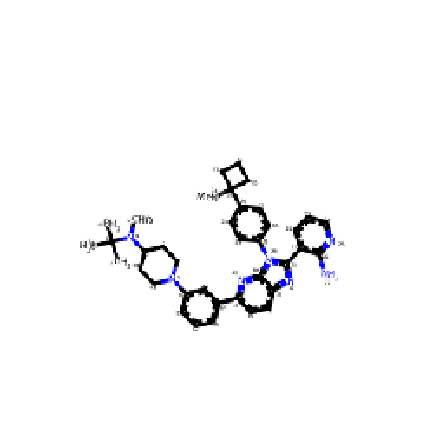 BC(B)(B)N(C=O)C1CCN(c2cccc(-c3ccc4nc(-c5cccnc5N)n(-c5ccc(C6(NC)CCC6)cc5)c4n3)c2)CC1